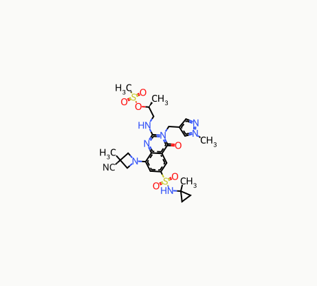 C[C@@H](CNc1nc2c(N3CC(C)(C#N)C3)cc(S(=O)(=O)NC3(C)CC3)cc2c(=O)n1Cc1cnn(C)c1)OS(C)(=O)=O